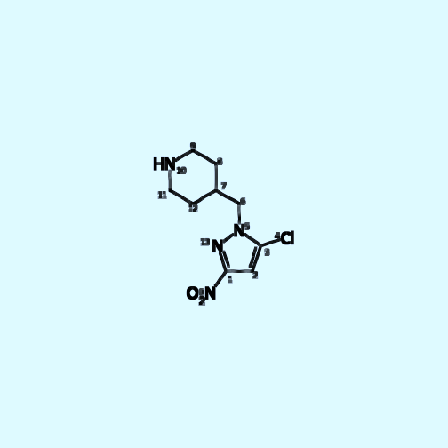 O=[N+]([O-])c1cc(Cl)n(CC2CCNCC2)n1